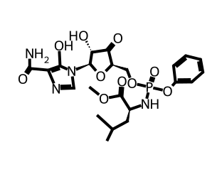 COC(=O)[C@H](CC(C)C)NP(=O)(OC[C@H]1O[C@@H](n2cnc(C(N)=O)c2O)[C@H](O)C1=O)Oc1ccccc1